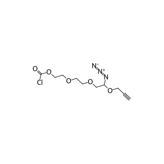 C#CCOC(COCCOCCOC(=O)Cl)N=[N+]=[N-]